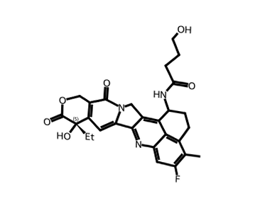 CC[C@@]1(O)C(=O)OCc2c1cc1n(c2=O)Cc2c-1nc1cc(F)c(C)c3c1c2C(NC(=O)CCCO)CC3